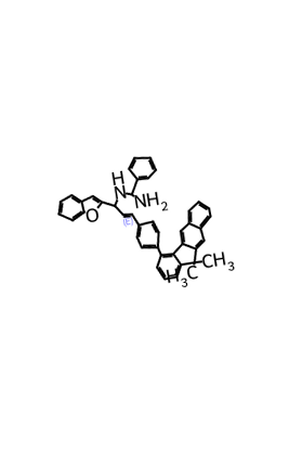 CC1(C)c2cc3ccccc3cc2-c2c(-c3ccc(/C=C/C(NC(N)c4ccccc4)c4cc5ccccc5o4)cc3)cccc21